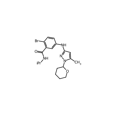 Cc1cc(Nc2ccc(Br)c(C(=O)NC(C)C)c2)nn1C1CCCCO1